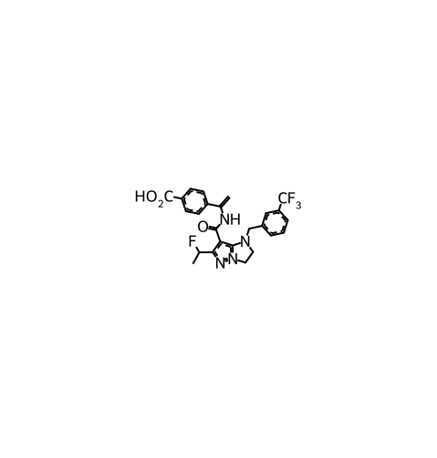 C=C(NC(=O)c1c(C(C)F)nn2c1N(Cc1cccc(C(F)(F)F)c1)CC2)c1ccc(C(=O)O)cc1